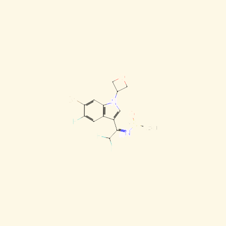 CC(C)(C)[S@+]([O-])/N=C(\c1cn(C2COC2)c2cc(Br)c(F)cc12)C(F)F